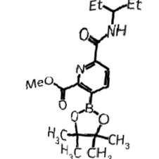 CCC(CC)NC(=O)c1ccc(B2OC(C)(C)C(C)(C)O2)c(C(=O)OC)n1